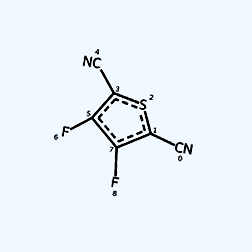 N#Cc1sc(C#N)c(F)c1F